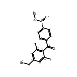 CCO[PH](=O)c1ccc(C(=O)c2c(C)cc(CBr)cc2C)cc1